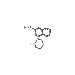 C1C[CH2][AlH][O]C1.O=C(O)c1ccc2ccccc2c1